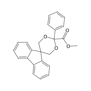 COC(=O)C1(c2ccccc2)OCC2(CO1)c1ccccc1-c1ccccc12